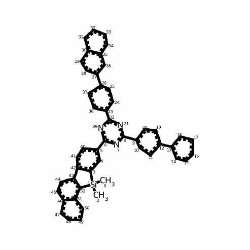 C[Si]1(C)c2cc(-c3nc(-c4ccc(-c5ccccc5)cc4)nc(-c4ccc(-c5ccc6ccccc6c5)cc4)n3)ccc2-c2ccc3ccccc3c21